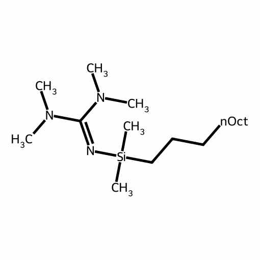 CCCCCCCCCCC[Si](C)(C)N=C(N(C)C)N(C)C